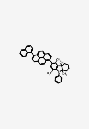 Cc1cc(-c2ccc3ccc4c(-c5cccc6ccccc56)ccc5ccc2c3c54)c(C)c2c1N(c1ccccc1)C1(C)CCCCC21C